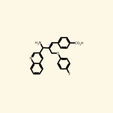 NC(/C(=C/c1ccc(C(=O)O)cc1)COc1ccc(F)cc1)c1cnc2ccccc2c1